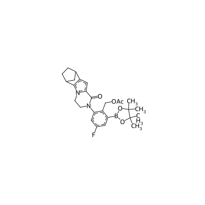 CC(=O)OCc1c(B2OC(C)(C)C(C)(C)O2)cc(F)cc1N1CCn2c(cc3c2C2CCC3C2)C1=O